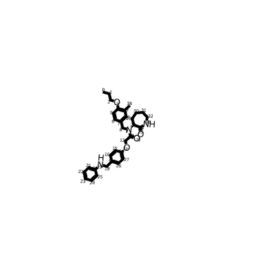 CCCOc1ccc(CN(C(=O)COc2ccc(CNc3ccccc3)cc2)[C@H]2CCCCNC2=O)cc1C